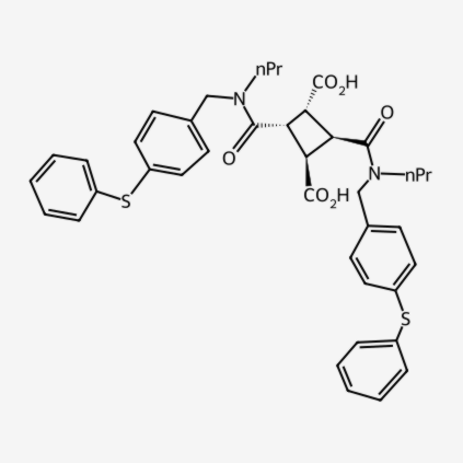 CCCN(Cc1ccc(Sc2ccccc2)cc1)C(=O)[C@H]1[C@H](C(=O)O)[C@H](C(=O)N(CCC)Cc2ccc(Sc3ccccc3)cc2)[C@H]1C(=O)O